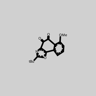 COc1cccc2c1C(=O)C(=O)c1nc(C(C)(C)C)oc1-2